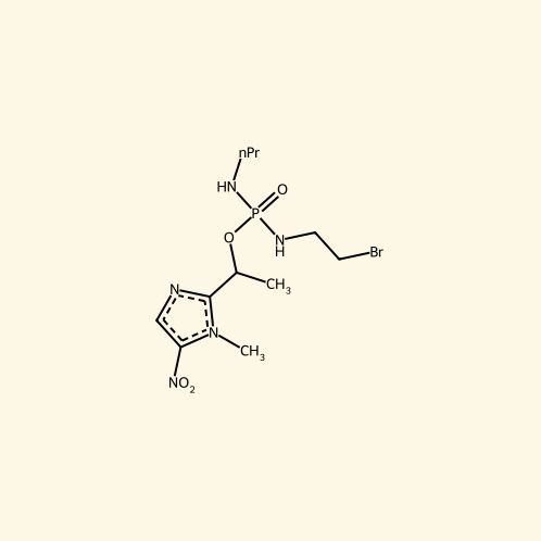 CCCNP(=O)(NCCBr)OC(C)c1ncc([N+](=O)[O-])n1C